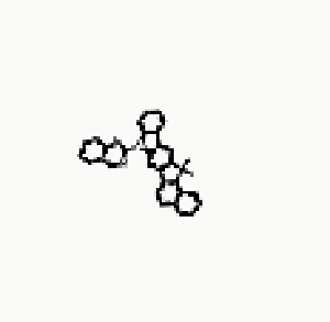 CC1(C)c2cc3c4ccccc4n(-c4ncc5ccccc5n4)c3cc2-c2ccc3ccccc3c21